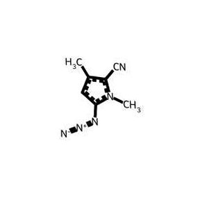 Cc1cc(N=[N+]=[N-])n(C)c1C#N